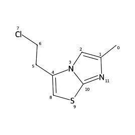 Cc1cn2c(CCCl)csc2n1